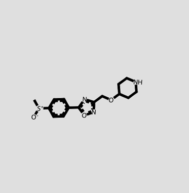 C[S+]([O-])c1ccc(-c2nc(COC3CCNCC3)no2)cc1